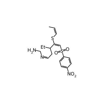 C/C=C\S/C(=C/S(=O)(=O)c1ccc([N+](=O)[O-])cc1)C(CC)C/C=N\CN